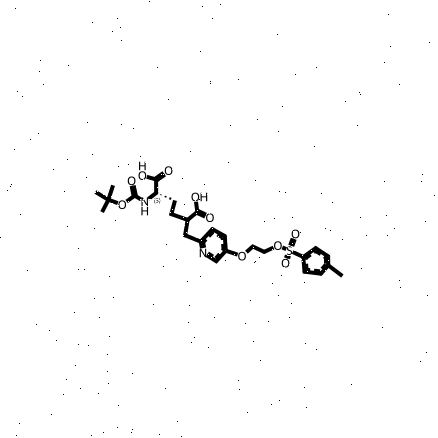 Cc1ccc(S(=O)(=O)OCCOc2ccc(CC(CC[C@H](NC(=O)OC(C)(C)C)C(=O)O)C(=O)O)nc2)cc1